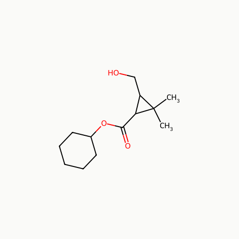 CC1(C)C(CO)C1C(=O)OC1CCCCC1